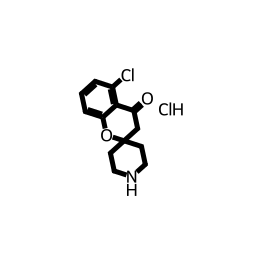 Cl.O=C1CC2(CCNCC2)Oc2cccc(Cl)c21